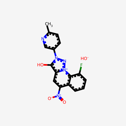 Cc1ccc(-n2n[n+]3c(cc([N+](=O)[O-])c4cccc(F)c43)c2O)cn1.[OH-]